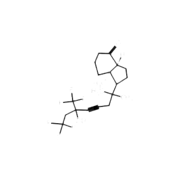 CC(C)(CC#CC(O)(CC(F)(F)F)C(F)(F)F)C1CC[C@H]2C(=O)CCC[C@]12C